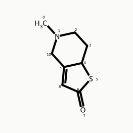 CN1CCC2SC(=O)C=C2C1